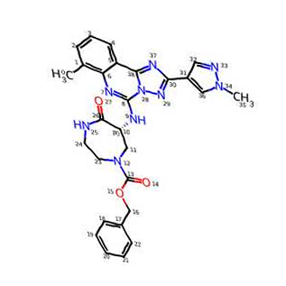 Cc1cccc2c1nc(N[C@@H]1CN(C(=O)OCc3ccccc3)CCNC1=O)n1nc(-c3cnn(C)c3)nc21